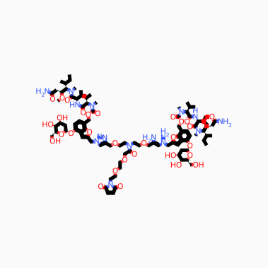 CCC(C)[C@@H]([C@@H](CC(N)=O)OC)N(C)C(=O)[C@@H](NC(=O)[C@H](C(C)C)N(C)C(=O)OCc1ccc(O[C@H]2C[C@@H](O)[C@@H](O)[C@@H](CO)O2)c2cc(CN(N)/C=C(\N)COCCN(CCOCc3cn(Cc4cc5c(O[C@H]6C[C@@H](O)[C@@H](O)[C@@H](CO)O6)ccc(COC(=O)N(C)[C@H](C(=O)N[C@H](C(=O)N(C)[C@@H](C(C)CC)[C@@H](CC(N)=O)OC)C(C)C)C(C)C)c5o4)nn3)C(=O)COCCOCCN3C(=O)C=CC3=O)oc12)C(C)C